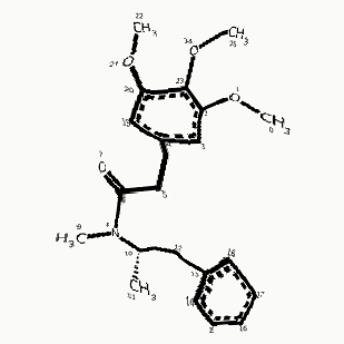 COc1cc(CC(=O)N(C)[C@@H](C)Cc2ccccc2)cc(OC)c1OC